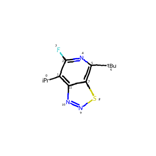 CC(C)c1c(F)nc(C(C)(C)C)c2snnc12